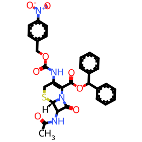 CC(=O)NC1C(=O)N2C(C(=O)OC(c3ccccc3)c3ccccc3)=C(NC(=O)OCc3ccc([N+](=O)[O-])cc3)CS[C@@H]12